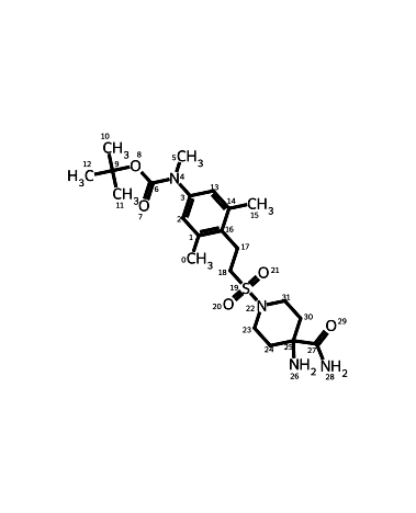 Cc1cc(N(C)C(=O)OC(C)(C)C)cc(C)c1CCS(=O)(=O)N1CCC(N)(C(N)=O)CC1